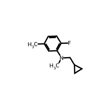 Cc1ccc(F)c(N(C)CC2CC2)c1